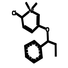 CCC(OC1=C[N+](C)(C)C(Cl)C=C1)c1ccccc1